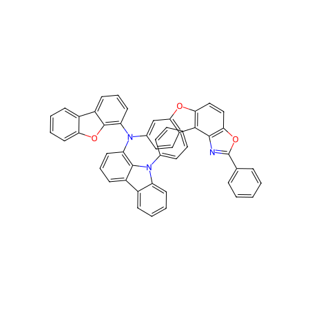 c1ccc(-c2nc3c(ccc4oc5cc(N(c6cccc7c6oc6ccccc67)c6cccc7c8ccccc8n(-c8ccccc8)c67)ccc5c43)o2)cc1